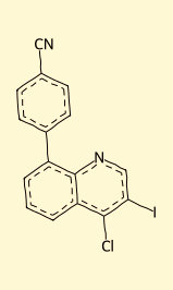 N#Cc1ccc(-c2cccc3c(Cl)c(I)cnc23)cc1